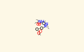 CCCc1nc2c(C)cc(C(=O)NC(CC)C(=O)CC)cc2n1Cc1ccc(-c2ccccc2C(=O)OC(C)(C)C)cc1